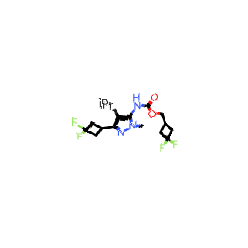 CC(C)c1c(C2CC(F)(F)C2)nn(C)c1NC(=O)OCC1CC(F)(F)C1